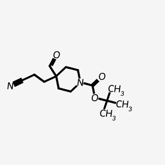 CC(C)(C)OC(=O)N1CCC(C=O)(CCC#N)CC1